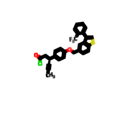 CC#C[C@@H](CC(=O)Cl)c1ccc(OCc2ccc3scc(-c4ccccc4C(F)(F)F)c3c2)cc1